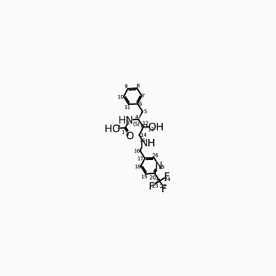 O=C(O)N[C@@H](Cc1ccccc1)[C@@H](O)CNCc1ccc(C(F)(F)F)nc1